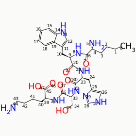 CCCC[C@H](N)C(=O)N[C@H](Cc1c[nH]c2ccccc12)C(=O)N[C@@H](Cc1c[nH]cn1)C(=O)N[C@H](CO)C(=O)N[C@@H](CCCCN)C(=O)O